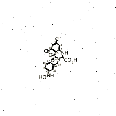 O=C(O)C1Nc2cc(Cl)cc(Cl)c2S(=O)(=O)N1Cc1cccc(NO)c1